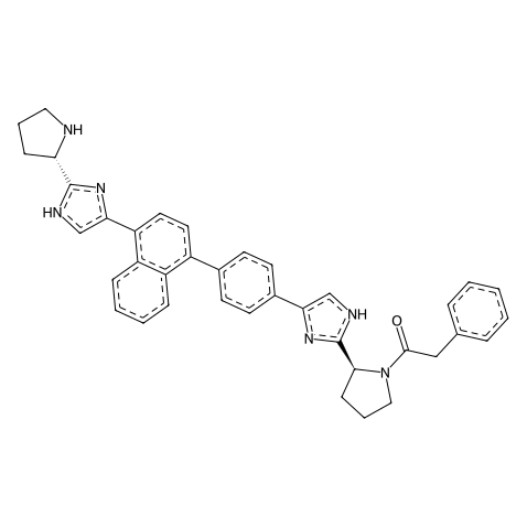 O=C(Cc1ccccc1)N1CCC[C@H]1c1nc(-c2ccc(-c3ccc(-c4c[nH]c([C@@H]5CCCN5)n4)c4ccccc34)cc2)c[nH]1